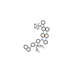 CC1(C)c2ccccc2-c2ccc(-c3ccc(N(c4ccc5c(c4)C(C)(C)c4cc(-c6cccc7ccccc67)ccc4-5)c4ccccc4-c4ccc(-c5ccccc5)cc4)cc3)cc21